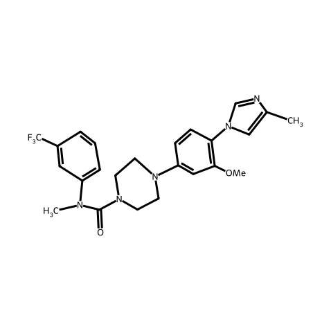 COc1cc(N2CCN(C(=O)N(C)c3cccc(C(F)(F)F)c3)CC2)ccc1-n1cnc(C)c1